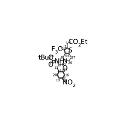 CCOC(=O)Cc1sc2c(c1C(F)(F)F)CN(C(=O)[C@H](Cc1ccc([N+](=O)[O-])cc1)NC(=O)OC(C)(C)C)CC2